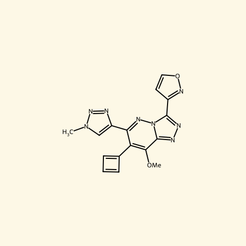 COc1c(C2=CC=C2)c(-c2cn(C)nn2)nn2c(-c3ccon3)nnc12